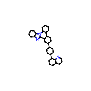 c1cnc2c(-c3ccc(-c4ccc5c6ccccc6n6c7ccccc7nc6c5c4)cc3)cccc2c1